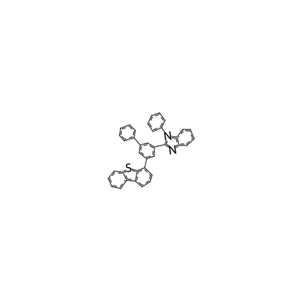 c1ccc(-c2cc(-c3cccc4c3sc3ccccc34)cc(-c3nc4ccccc4n3-c3ccccc3)c2)cc1